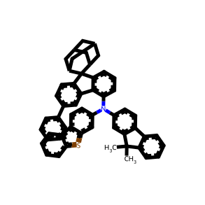 CC1(C)c2ccccc2-c2ccc(N(c3ccc4c(c3)sc3ccccc34)c3cccc4c3-c3cc(-c5ccccc5)ccc3C43C4CC5CC(C4)CC3C5)cc21